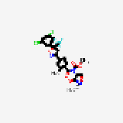 CCN1OC[C@@H](N(C(=O)OC)C(=O)c2ccc(C3=NOC(c4cc(Cl)cc(Cl)c4)(C(F)(F)F)C3)cc2C)C1=O